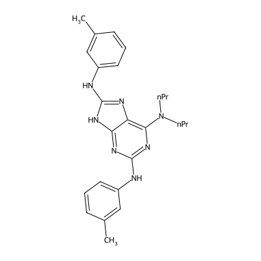 CCCN(CCC)c1nc(Nc2cccc(C)c2)nc2[nH]c(Nc3cccc(C)c3)nc12